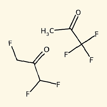 CC(=O)C(F)(F)F.O=C(CF)C(F)F